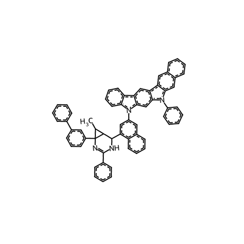 CC1C2C(c3cc(-n4c5ccccc5c5cc6c7cc8ccccc8cc7n(-c7ccccc7)c6cc54)cc4ccccc34)NC(c3ccccc3)=NC12c1cccc(-c2ccccc2)c1